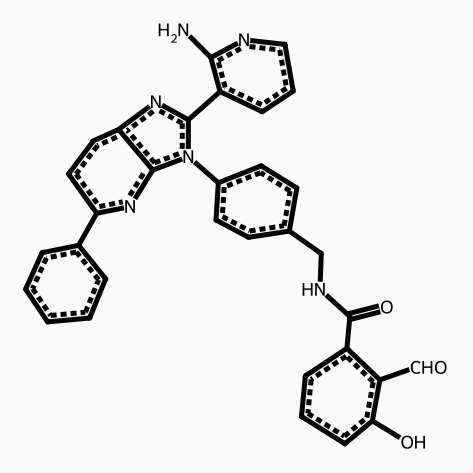 Nc1ncccc1-c1nc2ccc(-c3ccccc3)nc2n1-c1ccc(CNC(=O)c2cccc(O)c2C=O)cc1